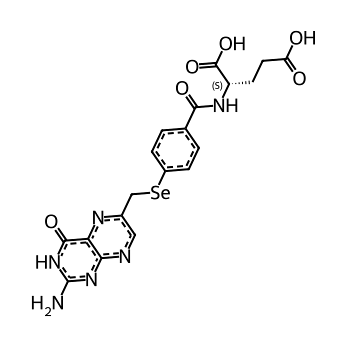 Nc1nc2ncc(C[Se]c3ccc(C(=O)N[C@@H](CCC(=O)O)C(=O)O)cc3)nc2c(=O)[nH]1